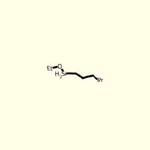 CCO[SiH2]CCCC(C)C